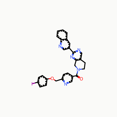 O=C(c1ccc(COc2ccc(I)cc2)nc1)N1CCc2cnc(-c3cnc4ccccc4c3)nc2C1